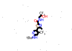 Cc1nc(C(=O)NCC(O)C(F)(F)F)sc1-c1cnc(NC(C)(C)C)cc1C(F)(F)F